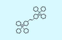 C(=C\c1ccc([PH](c2ccccc2)(c2ccccc2)c2ccccc2)cc1)/c1ccc([PH](c2ccccc2)(c2ccccc2)c2ccccc2)cc1